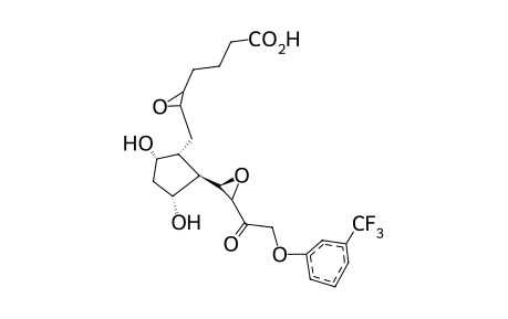 O=C(O)CCCC1OC1C[C@@H]1[C@@H]([C@H]2OC2C(=O)COc2cccc(C(F)(F)F)c2)[C@H](O)C[C@@H]1O